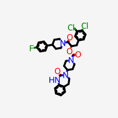 O=C(OC(Cc1ccc(Cl)c(Cl)c1)C(=O)N1CCC(c2ccc(F)cc2)CC1)N1CCC(N2CCc3ccccc3NC2=O)CC1